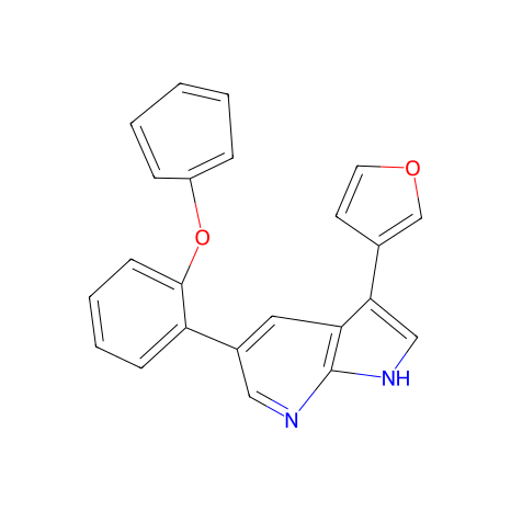 c1ccc(Oc2ccccc2-c2cnc3[nH]cc(-c4ccoc4)c3c2)cc1